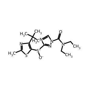 CCN(CC)C(=O)n1cnc([S+]([O-])c2sc(C)nc2C(C)(C)C)n1